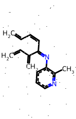 C=C/C=C\C(=N\c1cccnc1C)C(=C)C=C